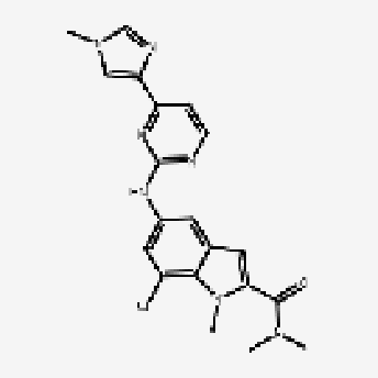 CN(C)C(=O)c1cc2cc(Nc3nccc(-c4cn(C)cn4)n3)cc(Cl)c2n1C